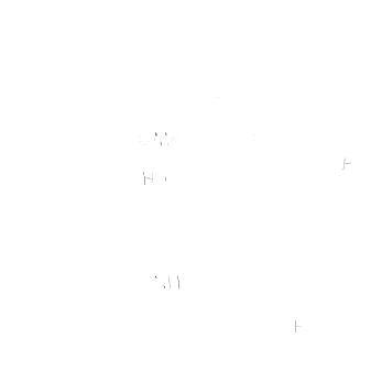 COCC1=C(\Cc2cc(F)cc(F)c2C23C=CC=CC2[C@H]3C)NC/C=C/C=C\1